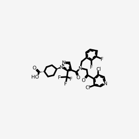 O=C(CN(Cc1cccc(F)c1F)C(=O)c1cnn([C@H]2CC[C@H](C(=O)O)CC2)c1C(F)(F)F)c1c(Cl)cncc1Cl